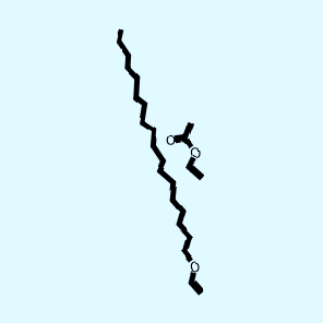 C=COC(C)=O.C=COCCCCCCCCCCCCCCCCCC